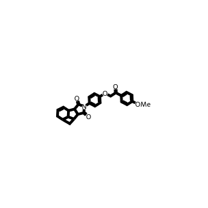 COc1ccc(C(=O)COc2ccc(N3C(=O)C4C5C=CCC6CC(C4C3=O)C65)cc2)cc1